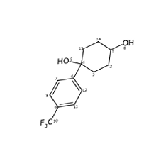 OC1CCC(O)(c2ccc(C(F)(F)F)cc2)CC1